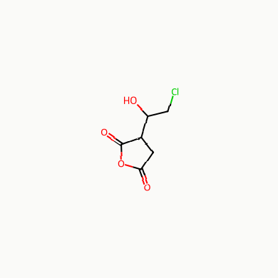 O=C1CC(C(O)CCl)C(=O)O1